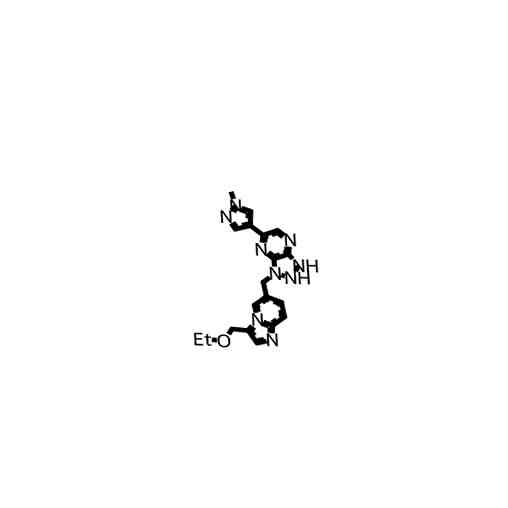 CCOCc1cnc2ccc(CN3NNc4ncc(-c5cnn(C)c5)nc43)cn12